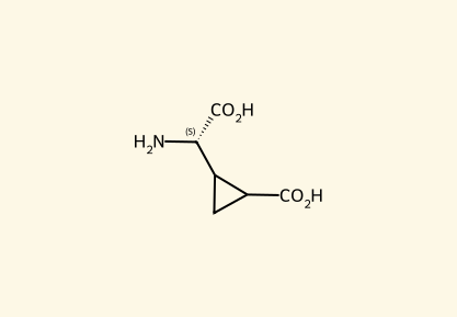 N[C@H](C(=O)O)C1CC1C(=O)O